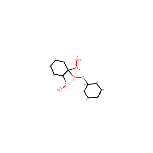 OOC1CCCCC1(OO)OOC1CCCCC1